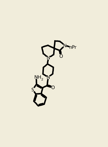 CCCN1CCC2(CCCN(C3CCN(C(=O)c4c(N)sc5ccccc45)CC3)C2)C1=O